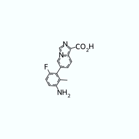 Cc1c(N)ccc(F)c1-c1ccc2c(C(=O)O)ncn2c1